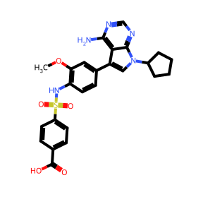 COc1cc(-c2cn(C3CCCC3)c3ncnc(N)c23)ccc1NS(=O)(=O)c1ccc(C(=O)O)cc1